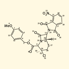 COc1ccc(COC(=O)C2N3C(=O)C(N4C(=O)c5cccc([N+](=O)[O-])c5C4=O)[C@@H]3SC[C@@]2(C)Cl)cc1